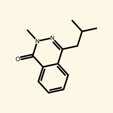 CC(C)Cc1nn(C)c(=O)c2ccccc12